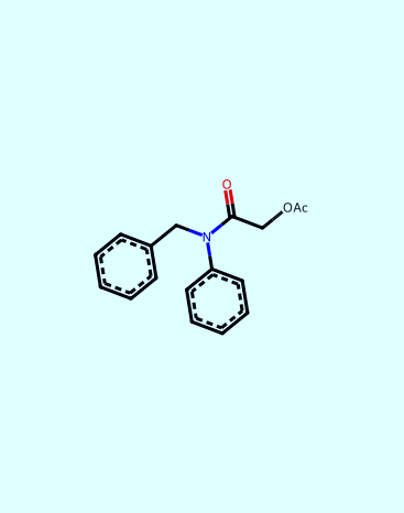 CC(=O)OCC(=O)N(Cc1ccccc1)c1ccccc1